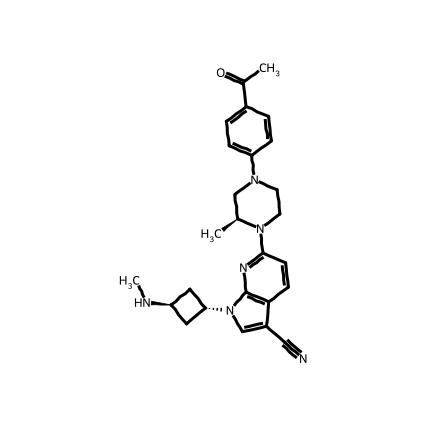 CN[C@H]1C[C@H](n2cc(C#N)c3ccc(N4CCN(c5ccc(C(C)=O)cc5)C[C@@H]4C)nc32)C1